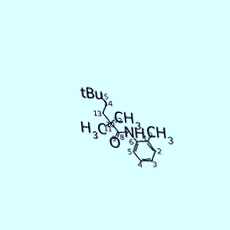 Cc1ccccc1NC(=O)C(C)(C)CCC(C)(C)C